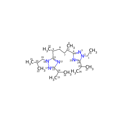 CCn1nc(C(C)CCC(C)c2nc(C(C)C)nn2CC(C)C)nc1C(C)C